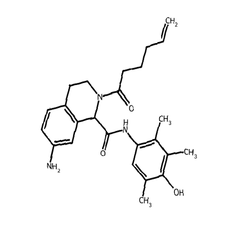 C=CCCCC(=O)N1CCc2ccc(N)cc2C1C(=O)Nc1cc(C)c(O)c(C)c1C